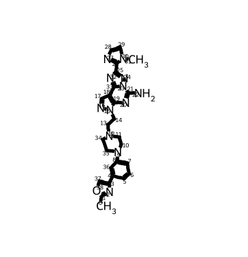 Cc1nc(-c2cccc(N3CCN(CCn4ncc5c4nc(N)n4nc(-c6nccn6C)nc54)CC3)c2)co1